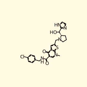 Cn1cc(C(=O)NCc2ccc(Cl)cc2)c(=O)c2cc(CN3CCC[C@@H]3C(O)c3ncc[nH]3)sc21